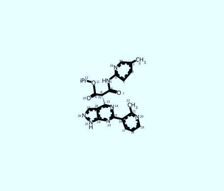 Cc1ccc(NC(=O)[C@@H](C(=O)OC(C)C)c2nc(-c3cccnc3C)nc3[nH]ncc23)nc1